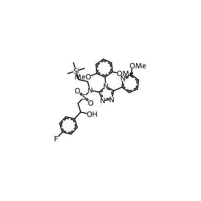 COc1cccc(-c2nnc(N(CC[Si](C)(C)C)S(=O)(=O)CC(O)c3ccc(F)cc3)n2-c2c(OC)cccc2OC)n1